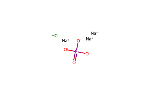 Cl.O=P([O-])([O-])[O-].[Na+].[Na+].[Na+]